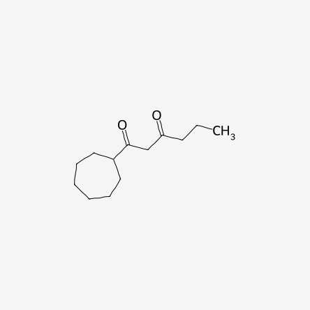 CCCC(=O)CC(=O)C1CCCCCC1